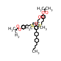 C=C(C)C(=O)Oc1ccc(CCCS(C)(C)c2cc(C3CCC(C4CCC(CCCCC)CC4)CC3)cc(S(C)(C)CCCc3ccc(OC(=O)C(=C)C)cc3)c2OCCCO)cc1